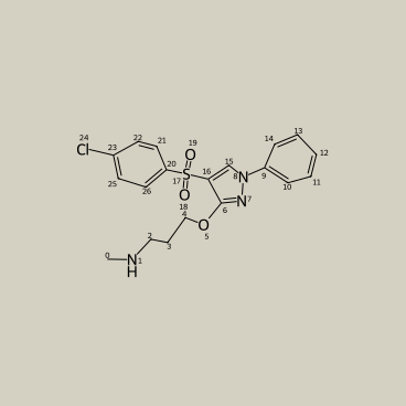 CNCCCOc1nn(-c2ccccc2)cc1S(=O)(=O)c1ccc(Cl)cc1